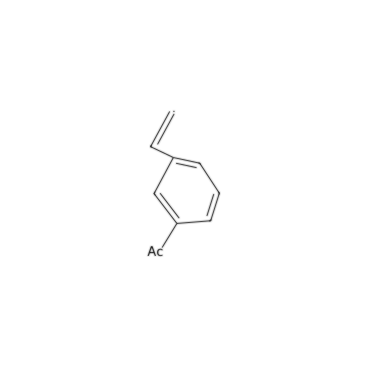 [CH]=Cc1cccc(C(C)=O)c1